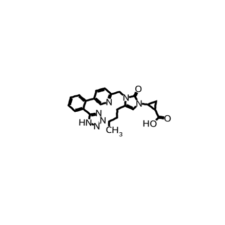 CCCCc1cn(C2CC2C(=O)O)c(=O)n1Cc1ccc(-c2ccccc2-c2nnn[nH]2)cn1